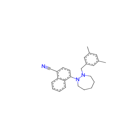 Cc1cc(C)cc(CN2CCCCCN2c2ccc(C#N)c3ccccc23)c1